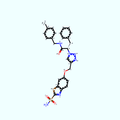 NS(=O)(=O)c1nc2ccc(OCc3cn([C@@H](Cc4ccccc4)C(=O)NCc4ccc(C(F)(F)F)cc4)nn3)cc2s1